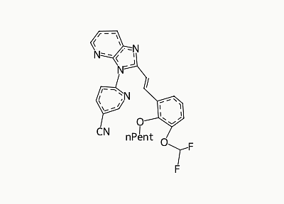 CCCCCOc1c(C=Cc2nc3cccnc3n2-c2ccc(C#N)cn2)cccc1OC(F)F